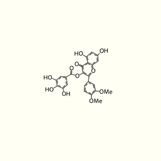 COc1ccc(-c2oc3cc(O)cc(O)c3c(=O)c2OC(=O)c2cc(O)c(O)c(O)c2)cc1OC